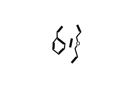 C=C.C=CCOCC=C.C=Cc1ccccc1